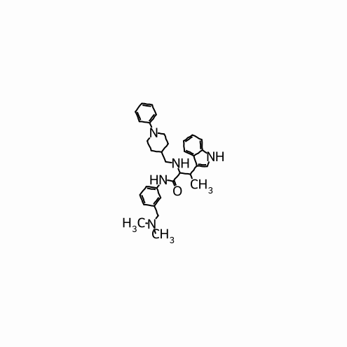 CC(c1c[nH]c2ccccc12)C(NCC1CCN(c2ccccc2)CC1)C(=O)Nc1cccc(CN(C)C)c1